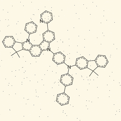 CC1(C)c2ccccc2-c2ccc(N(c3ccc(-c4ccccc4)cc3)c3ccc(-n4c5ccc(-c6ccccn6)cc5c5c6c(ccc54)c4c(n6-c5ccccc5)-c5ccccc5C4(C)C)cc3)cc21